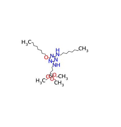 CCCCCCCCNc1nc(NCCC[Si](OCC)(OCC)OCC)nc(OCCCCCCCC)n1